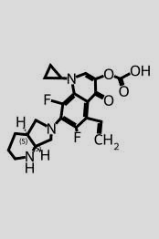 C=Cc1c(F)c(N2C[C@@H]3CCCN[C@@H]3C2)c(F)c2c1c(=O)c(OC(=O)O)cn2C1CC1